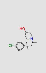 CC(CC(C)(C)c1ccc(Cl)cc1)N1CCC(O)CC1